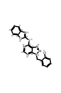 Clc1ccccc1Cn1nnc2c(Sc3nc4ccccc4o3)ncnc21